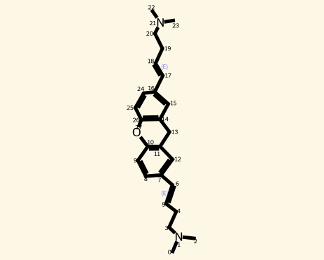 CN(C)CC/C=C/c1ccc2c(c1)Cc1cc(/C=C/CCN(C)C)ccc1O2